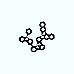 c1ccc(-n2c3ccccc3c3cc(-c4cccc5c6cccc7c8c9c%10cc%11ccccc%11c%11c%12cc%13ccccc%13cc%12n(c9ccc8n(c45)c67)c%10%11)ccc32)cc1